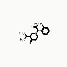 CCOC(=O)C(C)C1CN([C@H](C(=O)OC)c2ccccc2Cl)CCC1=O